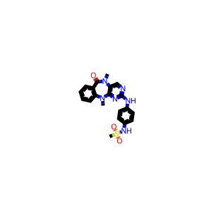 CN1C(=O)c2ccccc2N(C)c2nc(Nc3ccc(NS(C)(=O)=O)cc3)ncc21